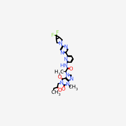 CCC(=O)Cn1c(=O)c2c(ncn2[C@@H](C)C(=O)Nc2cccc(-c3cnc(N4CC5C(C4)C5(F)F)cn3)n2)n(C)c1=O